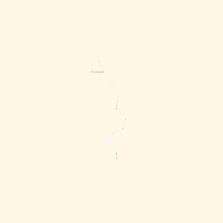 CC/N=C(/C)C(C)CCCCCC1CC1